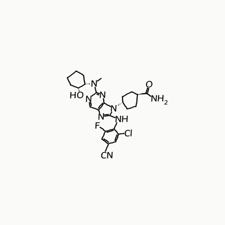 CN(c1ncc2nc(Nc3c(F)cc(C#N)cc3Cl)n([C@H]3CC[C@H](C(N)=O)CC3)c2n1)[C@H]1CCCC[C@H]1O